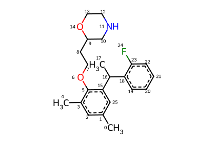 Cc1cc(C)c(OCCC2CNCCO2)c(C(C)c2ccccc2F)c1